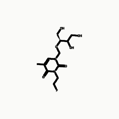 Cc1cn(CO[C@H](CO)C(O)CO)c(=O)n(CCF)c1=O